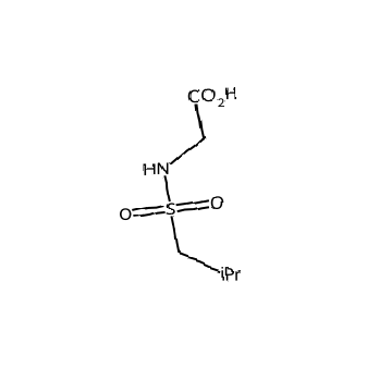 CC(C)CS(=O)(=O)NCC(=O)O